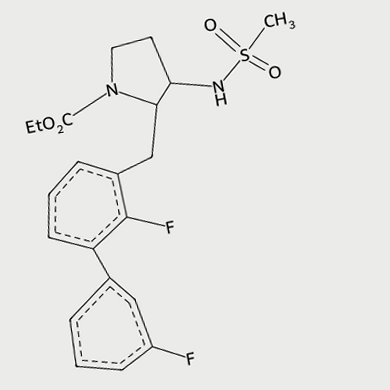 CCOC(=O)N1CCC(NS(C)(=O)=O)C1Cc1cccc(-c2cccc(F)c2)c1F